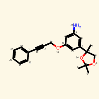 CC1(C)OCC(C)(c2cc(N)cc(OCC#Cc3ccccc3)c2)O1